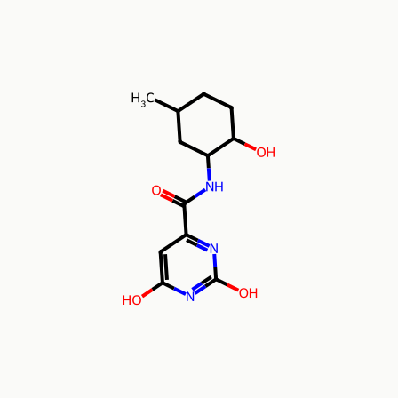 CC1CCC(O)C(NC(=O)c2cc(O)nc(O)n2)C1